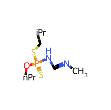 CCCOP(=S)(NC=NC)SCC(C)C